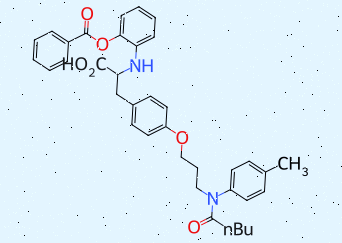 CCCCC(=O)N(CCCOc1ccc(CC(Nc2ccccc2OC(=O)c2ccccc2)C(=O)O)cc1)c1ccc(C)cc1